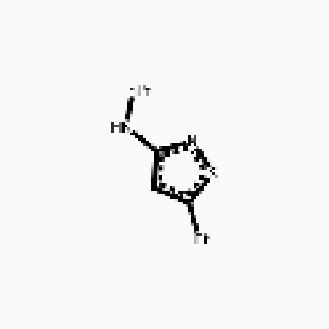 CCCNc1cc(CC)sn1